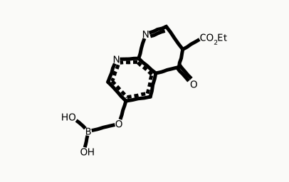 CCOC(=O)C1C=Nc2ncc(OB(O)O)cc2C1=O